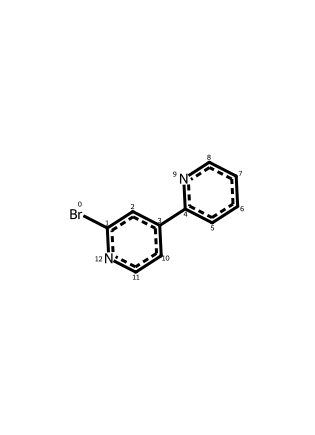 Brc1cc(-c2ccccn2)ccn1